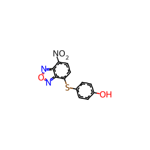 O=[N+]([O-])c1ccc(Sc2ccc(O)cc2)c2nonc12